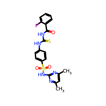 Cc1cc(C)nc(NS(=O)(=O)c2ccc(NC(=S)NC(=O)c3ccccc3I)cc2)n1